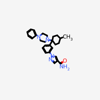 CC1CCC(c2cccc(-n3cc(C(N)=O)cn3)c2)(N2CCN(c3ccccc3)CC2)CC1